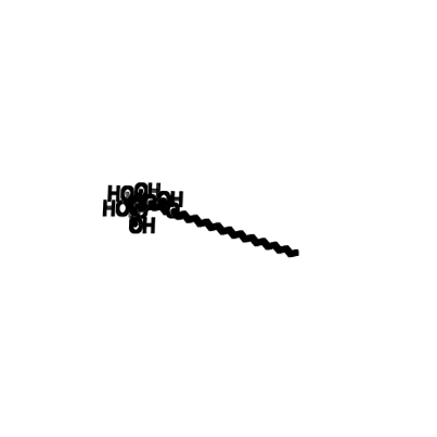 CCCCCCCCCCCCCCCCCCCCC=COCC(O)CO[C@@H]1O[C@H](CO)[C@H](O)[C@H](O)[C@H]1O